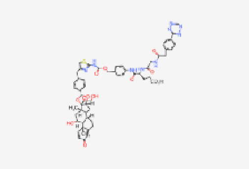 C[C@]12C=CC(=O)C=C1CC[C@@H]1[C@@H]2[C@@H](O)C[C@@]2(C)[C@H]1C[C@H]1O[C@@H](c3ccc(Cc4csc(NC(=O)OCc5ccc(NC(=O)[C@H](CCC(=O)O)NC(=O)CNC(=O)Cc6ccc(-c7nncnn7)cc6)cc5)n4)cc3)O[C@]12C(=O)CO